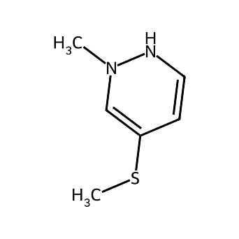 CSC1=CN(C)NC=C1